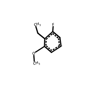 CCc1c(F)c[c]cc1OC